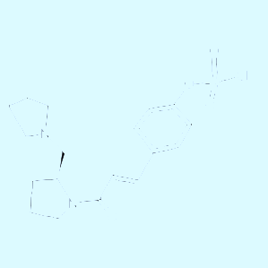 O=C(/C=C/c1ccc(OS(=O)(=O)C(F)(F)F)cc1)N1CCC[C@H]1CN1CCCC1